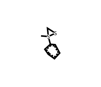 CS1(c2ccccc2)CS1